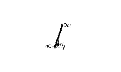 CCCCCCCCC=CCCCCCCCCCCCCOCC(COCCCCCCCC)N(C)C